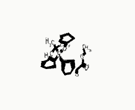 CC(C)(C)[Si](OC1=CCCC1)(c1ccccc1)c1ccccc1.CCOC(=O)C=O